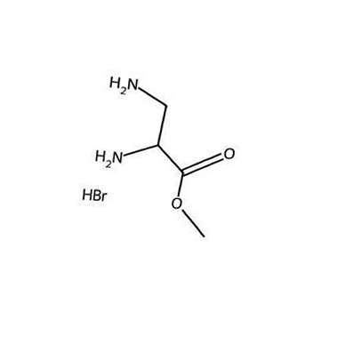 Br.COC(=O)C(N)CN